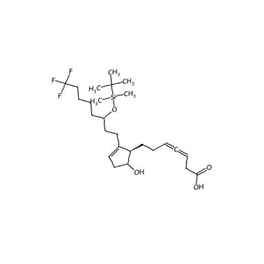 CC(C)(C)[Si](C)(C)OC(CCCCC(F)(F)F)CCC1=CCC(O)[C@@H]1CCC=C=CCC(=O)O